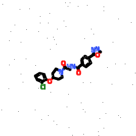 O=C(NCC(=O)N1CCC(Oc2ccccc2Cl)CC1)c1ccc(-c2nnco2)cc1